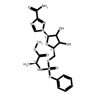 COC(=O)[C@H](C)NP(=O)(OC[C@H]1O[C@@H](n2cnc(C(N)=O)n2)C(O)C1O)Oc1ccccc1